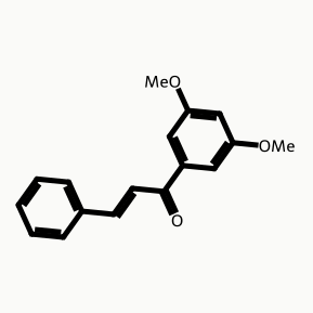 COc1cc(OC)cc(C(=O)C=Cc2ccccc2)c1